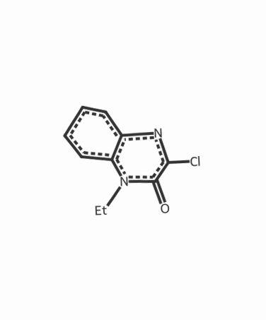 CCn1c(=O)c(Cl)nc2ccccc21